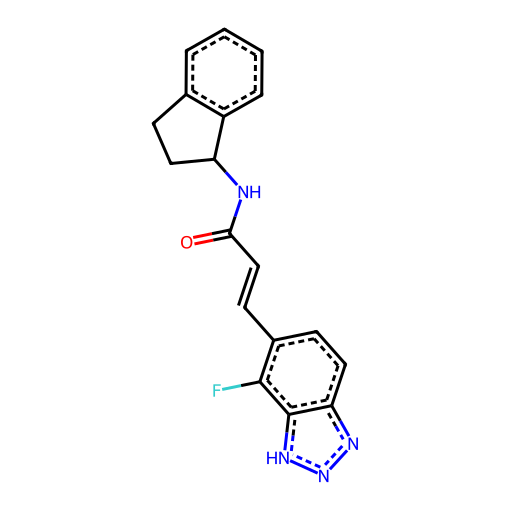 O=C(/C=C/c1ccc2nn[nH]c2c1F)NC1CCc2ccccc21